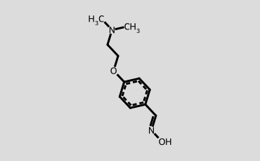 CN(C)CCOc1ccc(C=NO)cc1